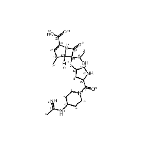 CC(=N)NC1CCN(C(=O)C2CC(SC3(C(C)O)C(=O)N4C(C(=O)O)=CC(C)[C@H]43)CN2)CC1